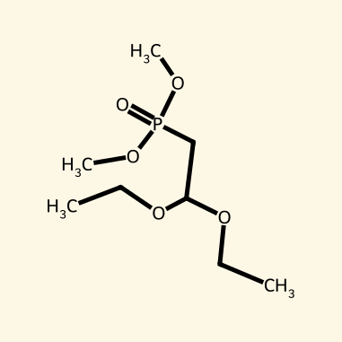 CCOC(CP(=O)(OC)OC)OCC